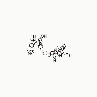 Cc1ncsc1-c1ccc([C@H](C)NC(=O)[C@@H]2C[C@@H](O)CN2N2CCC(CN3CCC(O[C@H]4C[C@H](n5cnc(CN6C7CCC6CN(c6cc(-c8ccccc8O)nnc6N)C7)c5)C4)CC3)CC2)cc1